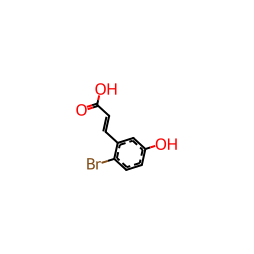 O=C(O)/C=C/c1cc(O)ccc1Br